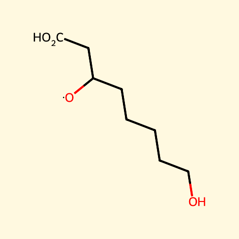 [O]C(CCCCCO)CC(=O)O